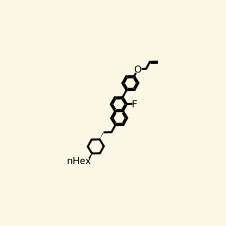 C=CCOc1ccc(-c2ccc3cc(CC[C@H]4CC[C@H](CCCCCC)CC4)ccc3c2F)cc1